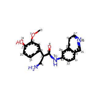 COc1cc(C(CN)C(=O)Nc2ccc3cnccc3c2)ccc1O